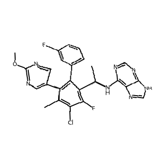 COc1ncc(-c2c(C)c(Cl)c(F)c(C(C)Nc3ncnc4[nH]cnc34)c2-c2cccc(F)c2)cn1